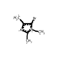 Cc1nc(C)n(C)c1Br